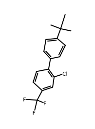 CC(C)(C)c1ccc(-c2ccc(C(F)(F)F)cc2Cl)cc1